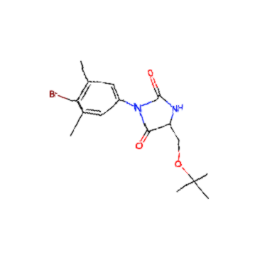 Cc1cc(N2C(=O)NC(COC(C)(C)C)C2=O)cc(C)c1Br